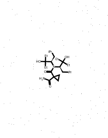 CCC(O)(CC)[C@@H](CC(C)C)N(C(=O)C1(C(N)=O)CC1)[C@H](CC(C)C)C(O)(CC)CC